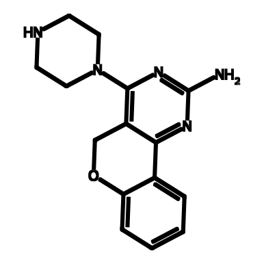 Nc1nc2c(c(N3CCNCC3)n1)COc1ccccc1-2